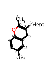 CCCCCCCC1=C(C)Oc2ccc(C(C)(C)C)cc2C1